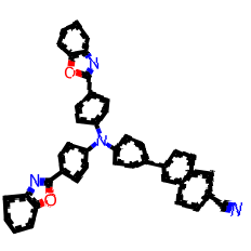 N#Cc1ccc2cc(-c3ccc(N(c4ccc(-c5nc6ccccc6o5)cc4)c4ccc(-c5nc6ccccc6o5)cc4)cc3)ccc2c1